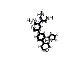 CN/C=C(\C=N)c1cc(-c2ccc(C3CCOCC3)c([C@@H]3CCCN3)c2)cnc1N